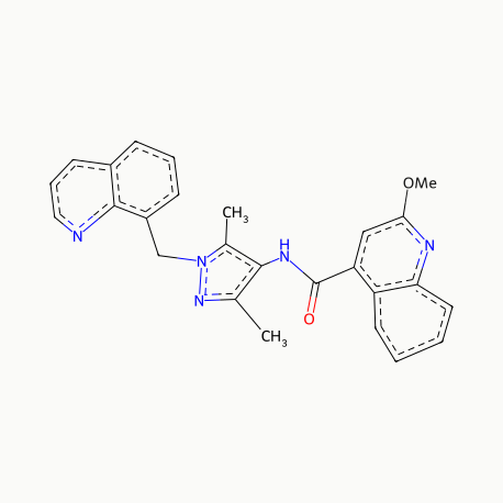 COc1cc(C(=O)Nc2c(C)nn(Cc3cccc4cccnc34)c2C)c2ccccc2n1